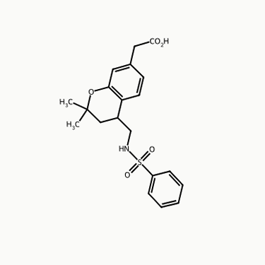 CC1(C)CC(CNS(=O)(=O)c2ccccc2)c2ccc(CC(=O)O)cc2O1